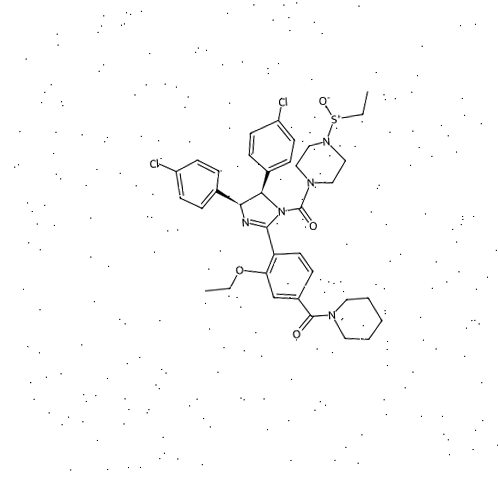 CCOc1cc(C(=O)N2CCCCC2)ccc1C1=N[C@@H](c2ccc(Cl)cc2)[C@@H](c2ccc(Cl)cc2)N1C(=O)N1CCN([S+]([O-])CC)CC1